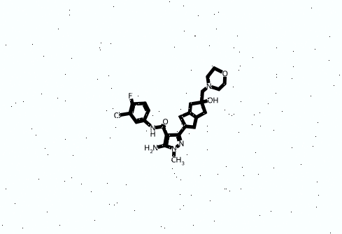 Cn1nc(C2CC3CC(O)(CN4CCOCC4)CC3C2)c(C(=O)Nc2ccc(F)c(Cl)c2)c1N